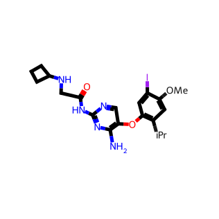 COc1cc(C(C)C)c(Oc2cnc(NC(=O)CNC3CCC3)nc2N)cc1I